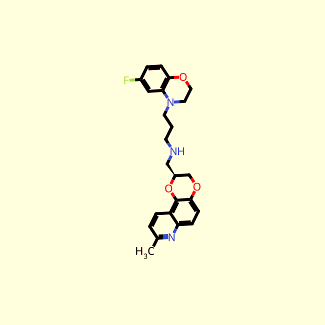 Cc1ccc2c3c(ccc2n1)OC[C@H](CNCCCN1CCOc2ccc(F)cc21)O3